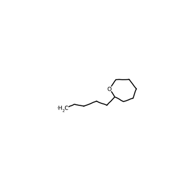 [CH2]CCCCC1CCCCCO1